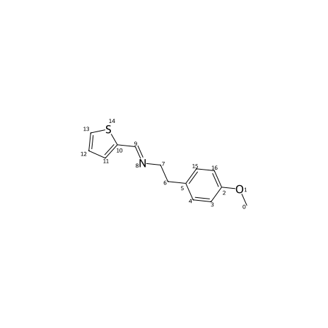 COc1ccc(CC/N=C/c2cccs2)cc1